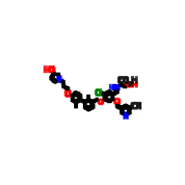 Cc1cc(OCCCN2CCC(O)C2)ccc1-c1cccc(COc2cc(OCc3cncc(C#N)c3)c(CNC(CO)C(=O)O)cc2Cl)c1C